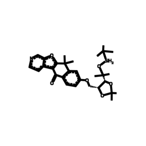 CC1(C)O[C@@H](C(C)(C)O[SiH2]C(C)(C)C)[C@@H](COc2ccc3c(c2)C(C)(C)c2oc4cnccc4c2C3=O)O1